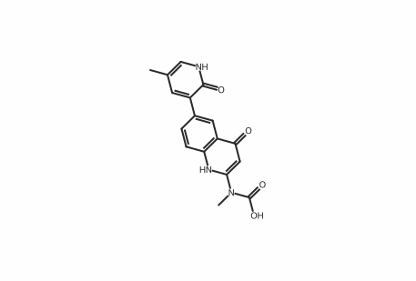 Cc1c[nH]c(=O)c(-c2ccc3[nH]c(N(C)C(=O)O)cc(=O)c3c2)c1